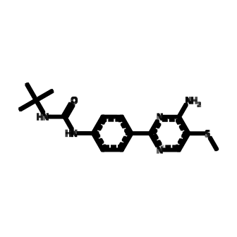 CSc1cnc(-c2ccc(NC(=O)NC(C)(C)C)cc2)nc1N